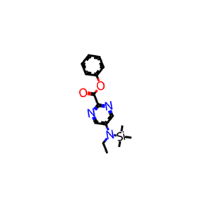 CCN(c1cnc(C(=O)Oc2ccccc2)nc1)[Si](C)(C)C